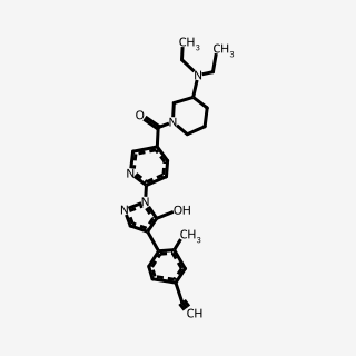 C#Cc1ccc(-c2cnn(-c3ccc(C(=O)N4CCCC(N(CC)CC)C4)cn3)c2O)c(C)c1